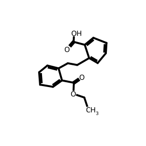 CCOC(=O)c1ccccc1CCc1ccccc1C(=O)O